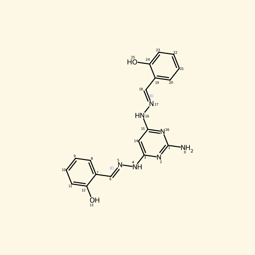 Nc1nc(N/N=C/c2ccccc2O)cc(N/N=C/c2ccccc2O)n1